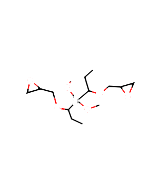 CCC(OCC1CO1)[Si](OC)(OC)C(CC)OCC1CO1